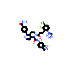 NC(=O)c1ccc(-c2nccc3c2CCN(C(=O)/C=C/c2c(-n4cnnn4)ccc(Cl)c2F)C3C(=O)Nc2ccc3cn[nH]c3c2)cc1